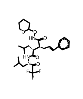 CC(C)C[C@@H](C(=O)NN(CC(C)C)C(=O)C(F)(F)F)[C@H](CC=Cc1ccccc1)C(=O)NOC1CCCCO1